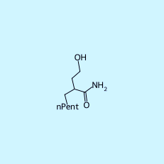 CCCCCCC(CCO)C(N)=O